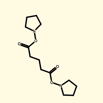 O=C(CCCC(=O)ON1CCCC1)ON1CCCC1